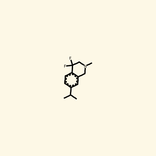 CC(C)c1ccc2c(c1)CN(C)CC2(F)F